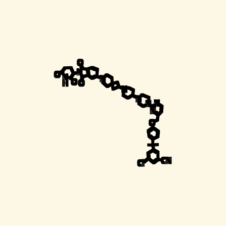 CC(C)(c1ccc(OCc2ccnc(N3CCN(C4CCN(C5CC6(CCN(c7ccc8c(c7)C(=O)N(C7CCC(=O)NC7=O)C8=O)CC6)C5)CC4)CC3)n2)cc1)c1cc(Cl)cc(C#N)c1